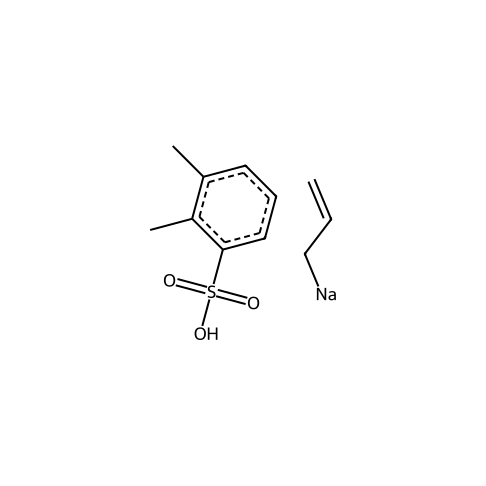 C=C[CH2][Na].Cc1cccc(S(=O)(=O)O)c1C